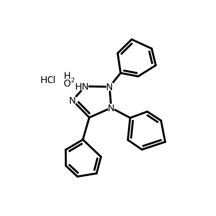 Cl.O.c1ccc(C2=NNN(c3ccccc3)N2c2ccccc2)cc1